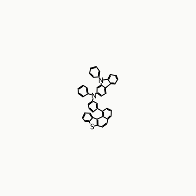 c1ccc(N(c2cccc(-c3cccc4ccc5sc6ccccc6c5c34)c2)c2ccc3c4ccccc4n(-c4ccccc4)c3c2)cc1